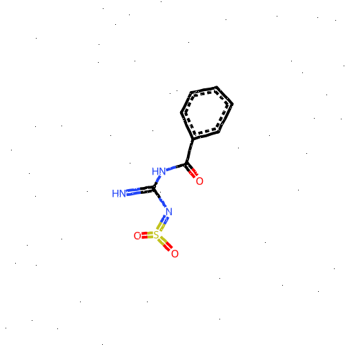 N=C(N=S(=O)=O)NC(=O)c1ccccc1